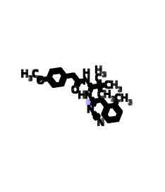 COc1ccc(CC(=O)NC(N/C(Cc2ccccc2C)=N/C#N)C(C)(C)C)cc1